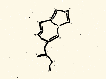 CCC(C)c1ccc2cccn2c1